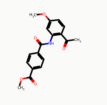 COC(=O)c1ccc(C(=O)Nc2cc(OC)ccc2C(C)=O)cc1